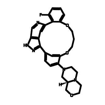 Fc1cccc2c1-c1cc3c(n[nH]c3cn1)-c1ccc(N3CCN4CCOC[C@H]4C3)c(c1)OCCCO2